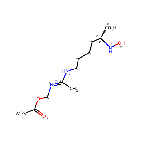 CSC(=O)OC/N=C(\C)NCCCC[C@H](NO)C(=O)O